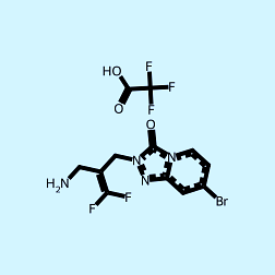 NCC(Cn1nc2cc(Br)ccn2c1=O)=C(F)F.O=C(O)C(F)(F)F